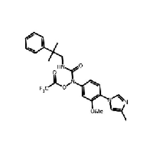 COc1cc(N(OC(=O)C(F)(F)F)C(=O)NCC(C)(C)c2ccccc2)ccc1-n1cnc(C)c1